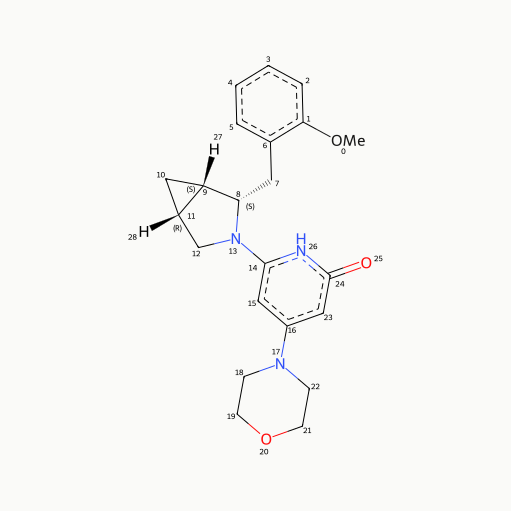 COc1ccccc1C[C@H]1[C@H]2C[C@H]2CN1c1cc(N2CCOCC2)cc(=O)[nH]1